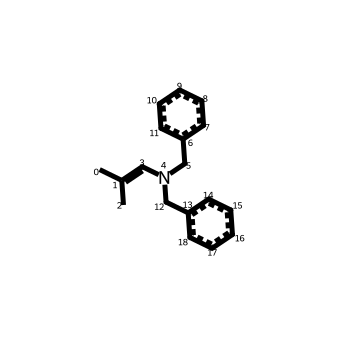 CC(C)=CN(Cc1ccccc1)Cc1ccccc1